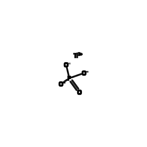 O=P([O-])([O-])[O-].[Tl+3]